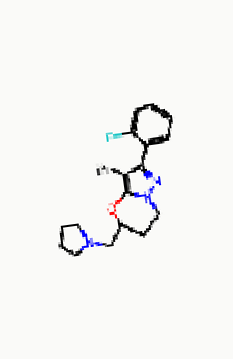 CC(C)c1c(-c2ccccc2F)nn2c1OC(CN1CCCC1)CC2